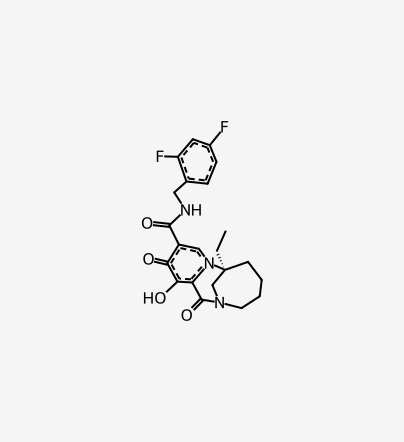 CC[C@]12CCCCN(C1)C(=O)c1c(O)c(=O)c(C(=O)NCc3ccc(F)cc3F)cn12